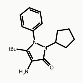 CC(C)(C)c1c(N)c(=O)n(C2CCCC2)n1-c1ccccc1